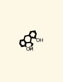 O=CC1c2c(O)cccc2Cc2cccc(O)c21